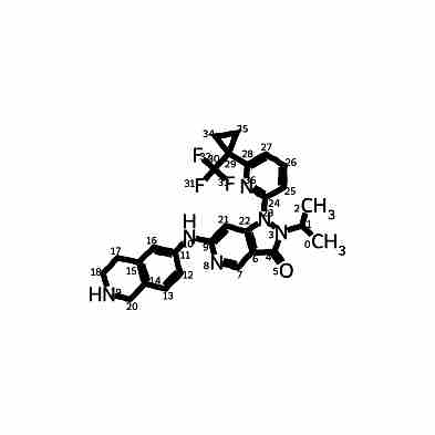 CC(C)n1c(=O)c2cnc(Nc3ccc4c(c3)CCNC4)cc2n1-c1cccc(C2(C(F)(F)F)CC2)n1